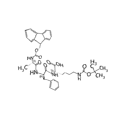 C[C@H](NC(=O)OCC1c2ccccc2-c2ccccc21)C(=O)N[C@H](Cc1ccccc1)C(=O)N[C@@H](CCCCNC(=O)OC(C)(C)C)C(=O)O